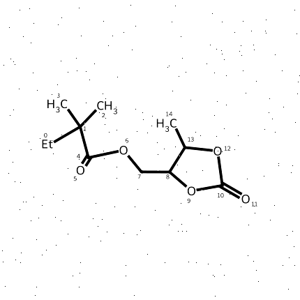 CCC(C)(C)C(=O)OCC1OC(=O)OC1C